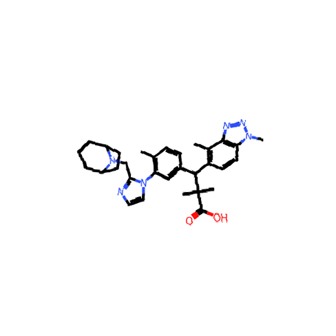 Cc1ccc(C(c2ccc3c(nnn3C)c2C)C(C)(C)C(=O)O)cc1-n1ccnc1CN1C2CCCC1CC2